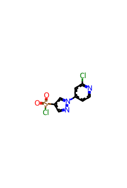 O=S(=O)(Cl)c1cnn(-c2ccnc(Cl)c2)c1